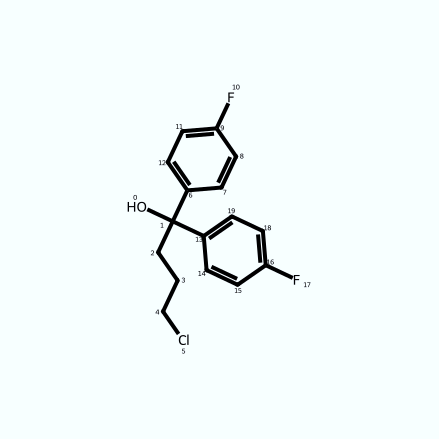 OC(CCCCl)(c1ccc(F)cc1)c1ccc(F)cc1